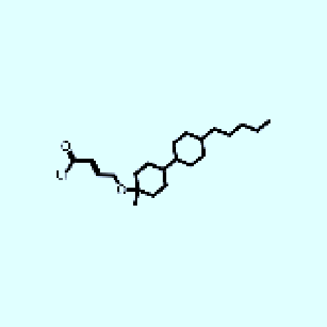 CCCCCC1CCC(C2CCC(C)(OC/C=C/C(=O)Cl)CC2)CC1